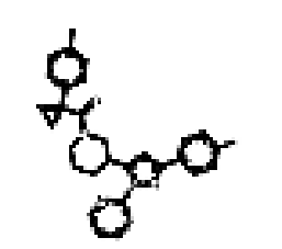 Cc1ccc(C2(C(=O)N3CCCC(c4cc(-c5ccc(F)cc5)nn4-c4ncccn4)C3)CC2)cc1